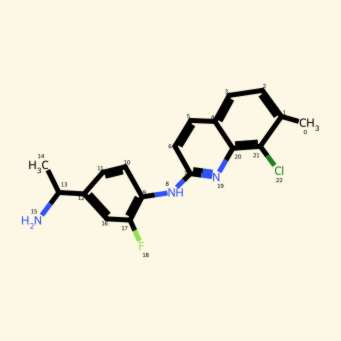 Cc1ccc2ccc(Nc3ccc(C(C)N)cc3F)nc2c1Cl